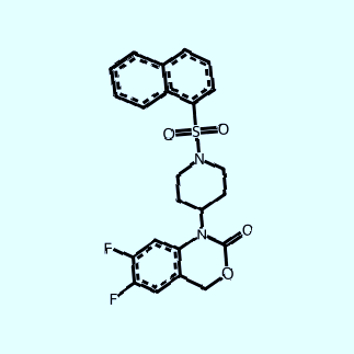 O=C1OCc2cc(F)c(F)cc2N1C1CCN(S(=O)(=O)c2cccc3ccccc23)CC1